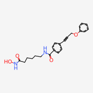 O=C(CCCCCNC(=O)c1ccc(C#CCOc2ccccc2)cc1)NO